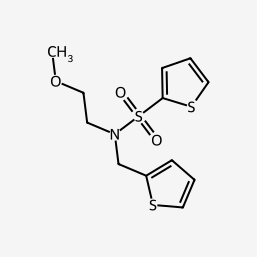 COCCN(Cc1cccs1)S(=O)(=O)c1cccs1